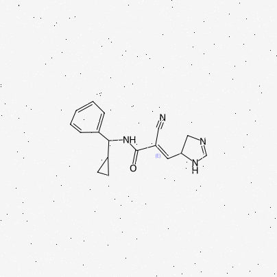 N#C/C(=C\C1CN=CN1)C(=O)NC(c1ccccc1)C1CC1